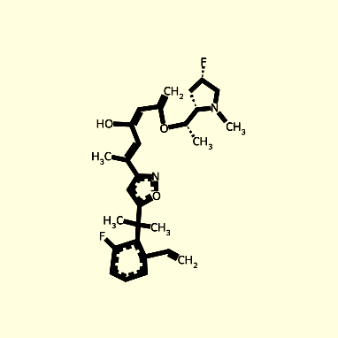 C=Cc1cccc(F)c1C(C)(C)c1cc(/C(C)=C/C(O)=C\C(=C)O[C@@H](C)[C@@H]2C[C@H](F)CN2C)no1